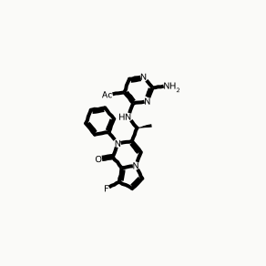 CC(=O)c1cnc(N)nc1N[C@@H](C)c1cn2ccc(F)c2c(=O)n1-c1ccccc1